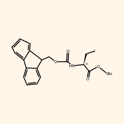 CC(C)(C)OC(=O)[C@H](CI)NC(=O)OCC1c2ccccc2-c2ccccc21